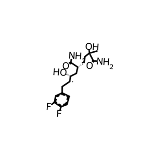 CC(O)(CC[C@H](C[C@@H](O)[CH]Cc1ccc(F)c(F)c1)C(N)=O)C(N)=O